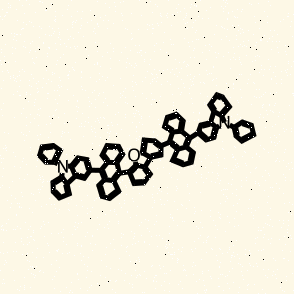 c1ccc(-n2c3ccccc3c3cc(-c4c5ccccc5c(-c5ccc6oc7c(-c8c9ccccc9c(-c9ccc%10c(c9)c9ccccc9n%10-c9ccccc9)c9ccccc89)cccc7c6c5)c5ccccc45)ccc32)cc1